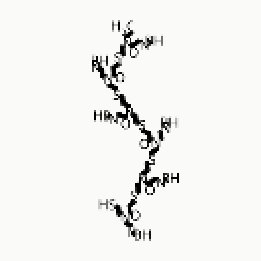 B=NCCN(CCS)C(=O)CCSCCN(CCCSCCN(CCN=B)C(=O)CCSCCN(CCCSCCN(CCN=B)C(=O)CCSCCN(CC=C)C(=O)CN=B)C(=O)CN=B)C(=O)CN=B